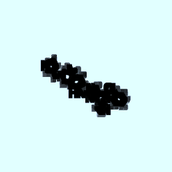 CC1(C)CN(Cc2cccnc2)Cc2cc(Nc3ncc4c(=O)n(-c5ccccc5Cl)c5nccn5c4n3)ccc21